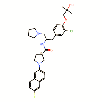 CC(C)(O)COc1ccc(CC(CN2CCCC2)NC(=O)[C@@H]2CCN(c3ccc4cc(F)ccc4c3)C2)cc1Cl